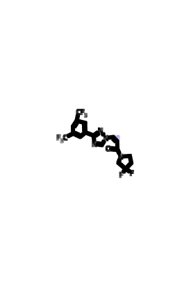 O=C(/C=C\n1cnc(-c2cc(C(F)(F)F)cc(C(F)(F)F)c2)n1)N1CCC(F)(F)C1